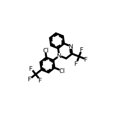 FC(F)(F)C1=Nc2ccccc2N(c2c(Cl)cc(C(F)(F)F)cc2Cl)C1